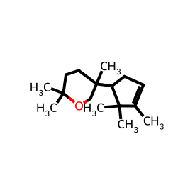 CC1=CCC(C2(C)CCC(C)(C)OC2)C1(C)C